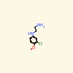 COc1ccc(NCCN)cc1Cl